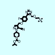 CC(C)OC(=O)N1CCC(n2ncc(COc3ccc(-c4nnnn4COCC[Si](C)(C)C)cc3F)c2C#N)CC1